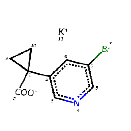 O=C([O-])C1(c2cncc(Br)c2)CC1.[K+]